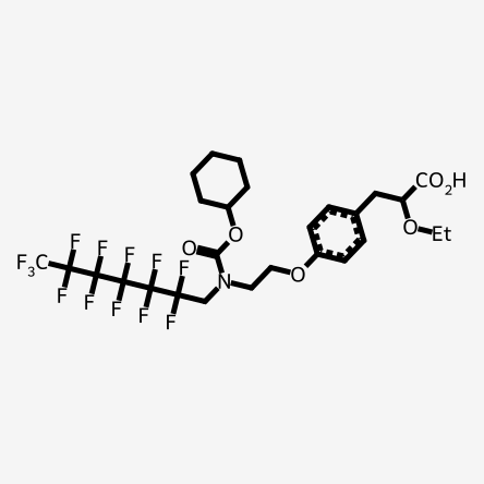 CCOC(Cc1ccc(OCCN(CC(F)(F)C(F)(F)C(F)(F)C(F)(F)C(F)(F)C(F)(F)F)C(=O)OC2CCCCC2)cc1)C(=O)O